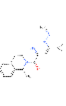 C=NN/C(=C\C(=N)C(=O)N1CCc2ccccc2[C@H]1C)C1CC1